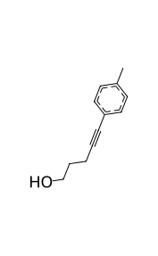 Cc1ccc(C#CCCCO)cc1